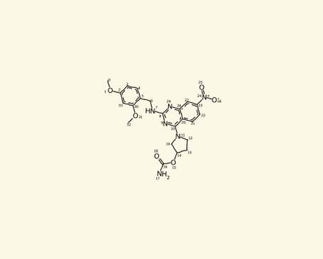 COc1ccc(CNc2nc(N3CCC(OC(N)=O)C3)c3ccc([N+](=O)[O-])cc3n2)c(OC)c1